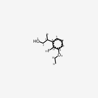 [CH2]C(CO)c1cccc(OCC)c1F